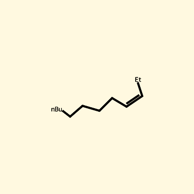 CC/C=C\CCCCCCCC